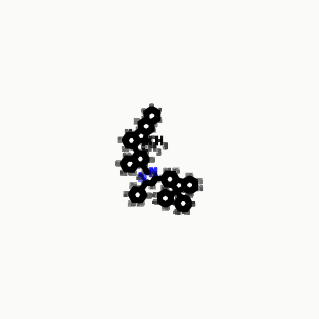 CC1(C)c2cc3ccccc3cc2-c2cccc(-c3ccc(-c4nc(-c5ccccc5)cc(-c5ccc6c(c5)C(c5ccccc5)(c5ccccc5)c5ccccc5-6)n4)c4ccccc34)c21